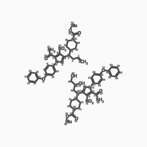 C=CCN(c1nn(-c2ccc(Oc3ccccc3)cc2)c(C(N)=O)c1[N+](=O)[O-])C1CCN(C(=O)OC(C)(C)C)CC1.CC(C)(C)OC(=O)N1CCC(N(CC(O)CO)c2nn(-c3ccc(Oc4ccccc4)cc3)c(C(N)=O)c2[N+](=O)[O-])CC1